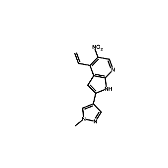 C=Cc1c([N+](=O)[O-])cnc2[nH]c(-c3cnn(C)c3)cc12